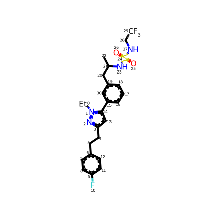 CCn1nc(CCc2ccc(F)cc2)cc1-c1cccc(CC(C)NS(=O)(=O)NCC(F)(F)F)c1